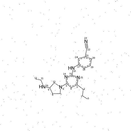 CCCc1cc(N2CCC(NCC)C2)nc(Nc2cccc(C#N)c2)n1